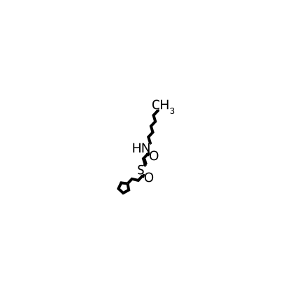 CCCCCCCCNC(=O)C=CSC(=O)CCC1CCCC1